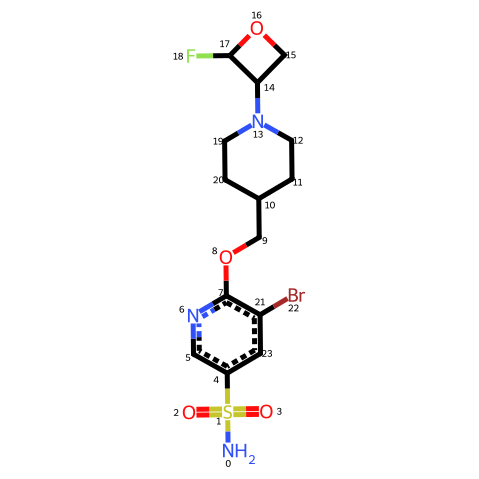 NS(=O)(=O)c1cnc(OCC2CCN(C3COC3F)CC2)c(Br)c1